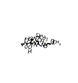 COCCO/N=C/c1cc2n(CC(C)(C)C)c(=O)c(C(=O)NC3CC3)c(O)n2n1